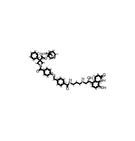 O=C(NCCCNC[C@H](O)c1ccc(O)c2[nH]c(=O)ccc12)c1ccc(COc2ccc(C(=O)N3CC(C(=O)O[C@H]4CN5CCC4CC5)(c4ccccc4)C3)cc2)cc1